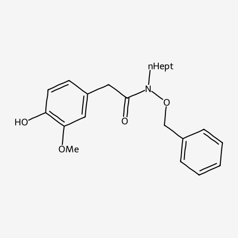 CCCCCCCN(OCc1ccccc1)C(=O)Cc1ccc(O)c(OC)c1